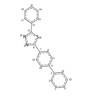 c1ccc(-c2ccc(-c3nnc(-c4ccccc4)s3)cc2)cc1